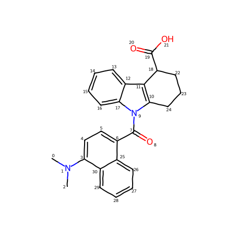 CN(C)c1ccc(C(=O)n2c3c(c4ccccc42)C(C(=O)O)CCC3)c2ccccc12